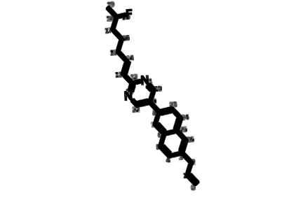 C=CCc1ccc2cc(-c3cnc(C=CCCCC(C)F)nc3)ccc2c1